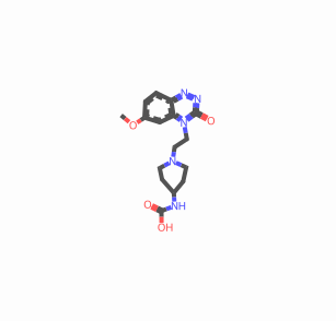 COc1ccc2nnc(=O)n(CCN3CCC(NC(=O)O)CC3)c2c1